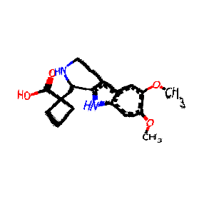 COc1cc2[nH]c3c(c2cc1OC)CCNC3C1(C(=O)O)CCC1